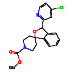 CC(C)(C)OC(=O)N1CCC2(CC1)OC(c1cc(Cl)ccn1)c1ccccc12